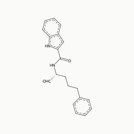 O=[C][C@@H](CCCc1ccccc1)NC(=O)c1cc2ccccc2[nH]1